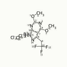 COc1nc(OC)c2c(CC(F)(F)F)n[nH]c2n1.[B+3].[Cl-].[Cl-].[Cl-]